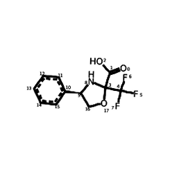 O=C(O)C1(C(F)(F)F)N[C@H](c2ccccc2)CO1